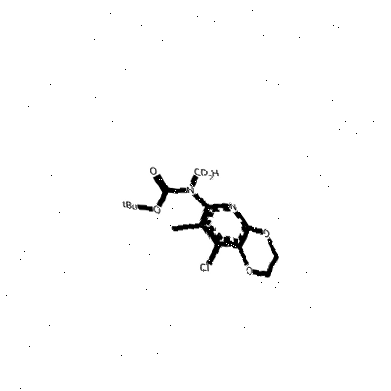 Cc1c(N(C(=O)O)C(=O)OC(C)(C)C)nc2c(c1Cl)OCCO2